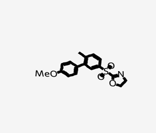 COc1ccc(-c2cc(S(=O)(=O)C3=NCCO3)ccc2C)cc1